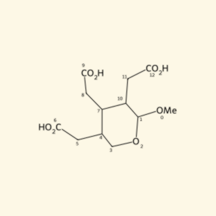 COC1OCC(CC(=O)O)C(CC(=O)O)C1CC(=O)O